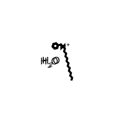 CCCCCCCCCCCCCC[N+](C)(C)Cc1ccccc1.O.O